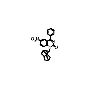 O=c1nc(-c2ccccc2)c2cc([N+](=O)[O-])ccc2n1CC1C2CC3CC1CC3C2